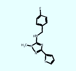 Cn1nc(-c2cccs2)nc1NCc1ccc(F)cc1